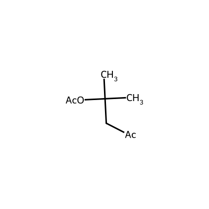 CC(=O)CC(C)(C)OC(C)=O